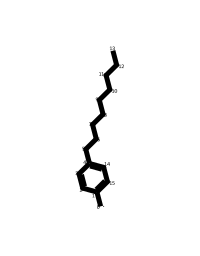 [CH2]c1ccc(CCCCCCCCC)cc1